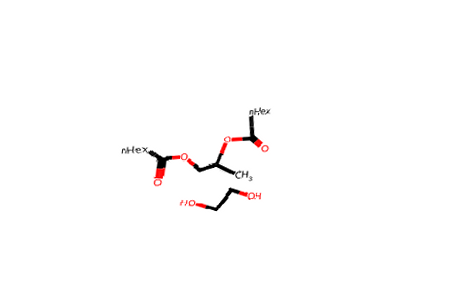 CCCCCCC(=O)OCC(C)OC(=O)CCCCCC.OCCO